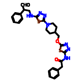 O=CC(CNc1nnc(N2CCC(COc3nnc(NC(=O)Cc4ccccc4)s3)CC2)s1)c1ccccc1